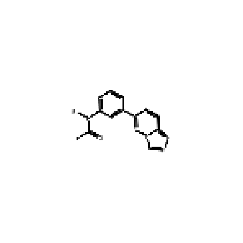 CCC(=O)N(CC)c1cccc(-c2ccc3nncn3n2)c1